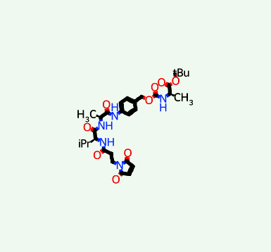 CC(C)[C@H](NC(=O)CCN1C(=O)C=CC1=O)C(=O)N[C@@H](C)C(=O)Nc1ccc(COC(=O)N[C@H](C)C(=O)OC(C)(C)C)cc1